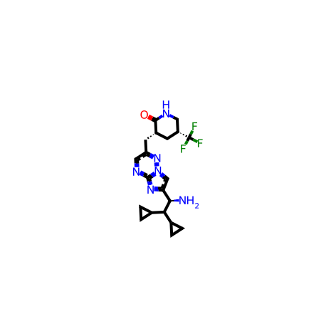 N[C@H](c1cn2nc(C[C@H]3C[C@@H](C(F)(F)F)CNC3=O)cnc2n1)C(C1CC1)C1CC1